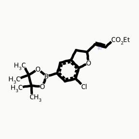 CCOC(=O)/C=C/C1Cc2cc(B3OC(C)(C)C(C)(C)O3)cc(Cl)c2O1